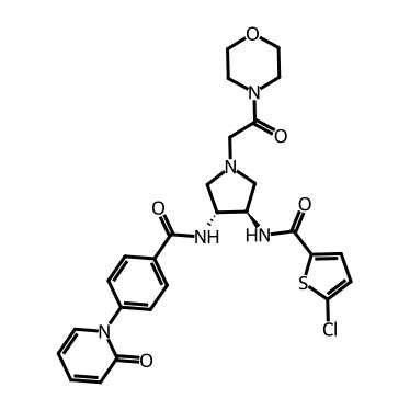 O=C(N[C@@H]1CN(CC(=O)N2CCOCC2)C[C@H]1NC(=O)c1ccc(Cl)s1)c1ccc(-n2ccccc2=O)cc1